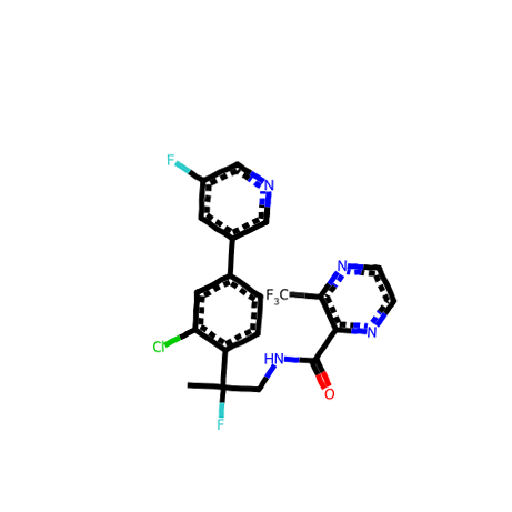 CC(F)(CNC(=O)c1nccnc1C(F)(F)F)c1ccc(-c2cncc(F)c2)cc1Cl